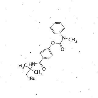 CN(C(=O)Oc1ccc(C(=O)NC(C)(C)CC(C)(C)C)cc1)c1ccccc1